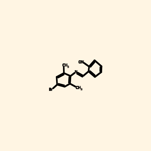 Cc1cc(Br)cc(C)c1/N=C/c1ccccc1N=O